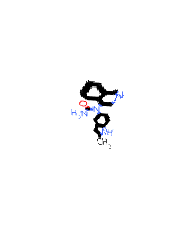 Cc1cc2cc(N(C(N)=O)c3cncc4ccccc34)ccc2[nH]1